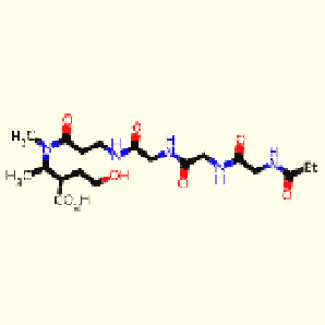 CCC(=O)NCC(=O)NCC(=O)NCC(=O)NCCC(=O)N(C)C(C)C(CCO)C(=O)O